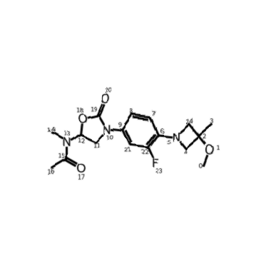 COC1(C)CN(c2ccc(N3CC(N(C)C(C)=O)OC3=O)cc2F)C1